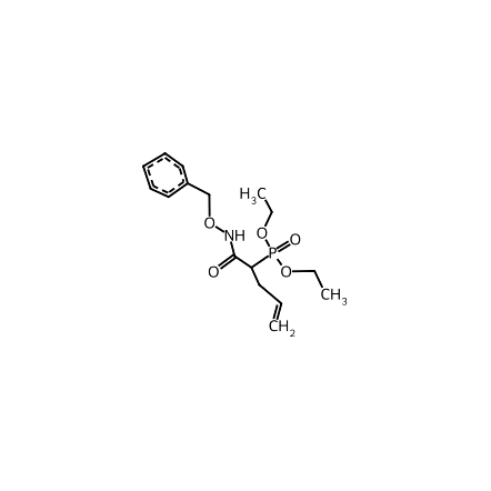 C=CCC(C(=O)NOCc1ccccc1)P(=O)(OCC)OCC